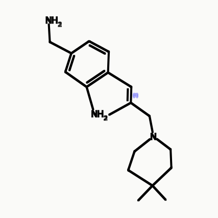 C/C(=C\c1ccc(CN)cc1N)CN1CCC(C)(C)CC1